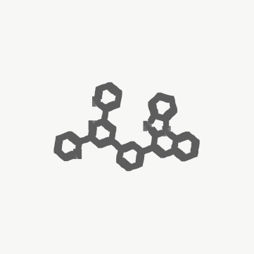 c1ccc(-c2cc(-c3cccc(-c4cc5ccccc5n5c4nc4ccccc45)c3)cc(-c3ccccn3)n2)nc1